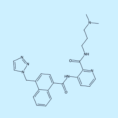 CN(C)CCCNC(=O)c1ncccc1NC(=O)c1ccc(Cn2ccnn2)c2ccccc12